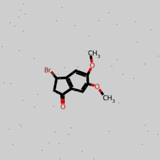 COc1cc2c(cc1OC)C(Br)CC2=O